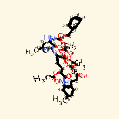 CC(=O)OC(CCC(NC(=O)[C@H](CC(C)C)NC(=O)OCc1ccccc1)C(OC(C)=O)(OC(C)=O)OC(C)=O)C(=O)Nc1cc(C)ccc1CCC(=O)O